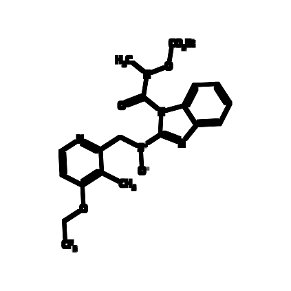 CCOC(=O)ON(C)C(=O)n1c([S+]([O-])Cc2nccc(OCC(F)(F)F)c2C)nc2ccccc21